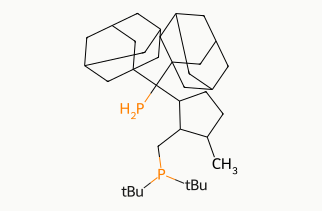 CC1CCC(C(P)(C23CC4CC(CC(C4)C2)C3)C23CC4CC(CC(C4)C2)C3)C1CP(C(C)(C)C)C(C)(C)C